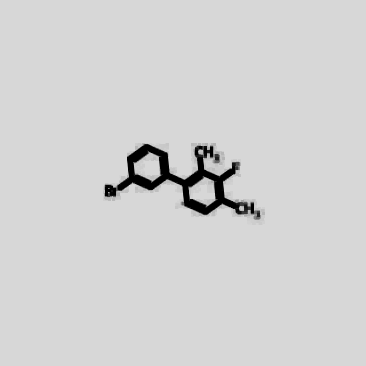 Cc1c[c]c(-c2cccc(Br)c2)c(C)c1F